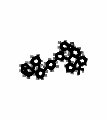 CC1(C)c2ccccc2-c2c(C(c3cccc(-c4ccc(-c5cccc6c5-c5ccccc5C65C6CC7CC(C6)CC5C7)cc4)c3)c3cccc4oc5ccccc5c34)cccc21